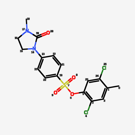 Cc1cc(Cl)c(OS(=O)(=O)c2ccc(N3CCN(C)C3=O)cc2)cc1Cl